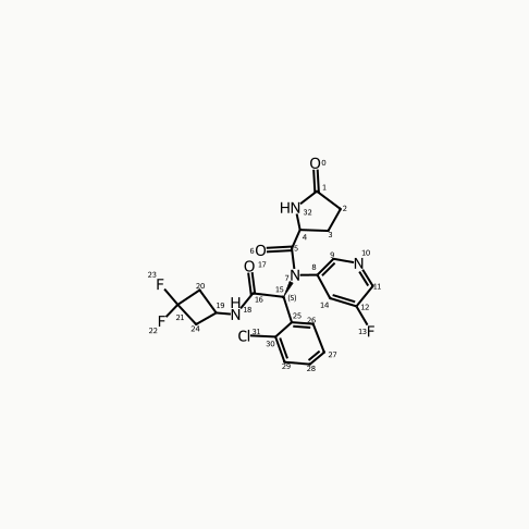 O=C1CCC(C(=O)N(c2cncc(F)c2)[C@H](C(=O)NC2CC(F)(F)C2)c2ccccc2Cl)N1